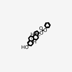 C[C@]12CC[C@H]3[C@@H](CCC4=C[C@@H](O)CC[C@@]43C)[C@@H]1CC[C@@H]2OC(=O)Oc1ccccc1